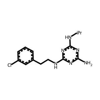 CC(C)Nc1nc(N)nc(NCCc2cccc(Cl)c2)n1